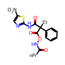 CCCC(=O)NOC(=O)C(CC)(C(=O)Nc1ncc([N+](=O)[O-])s1)c1ccccc1